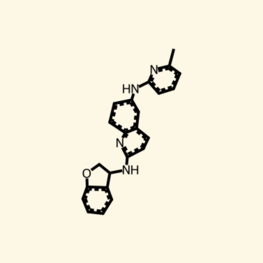 Cc1cccc(Nc2ccc3nc(NC4COc5ccccc54)ccc3c2)n1